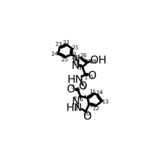 O=C(NOC(=O)c1n[nH]c(=O)c2ccccc12)c1nn(-c2ccccc2)cc1O